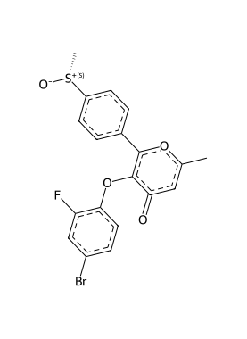 Cc1cc(=O)c(Oc2ccc(Br)cc2F)c(-c2ccc([S@@+](C)[O-])cc2)o1